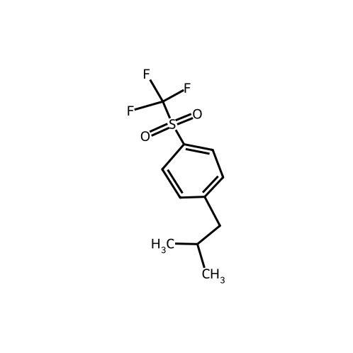 CC(C)Cc1ccc(S(=O)(=O)C(F)(F)F)cc1